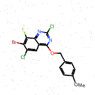 COc1ccc(COc2nc(Cl)nc3c(F)c(Br)c(Cl)cc23)cc1